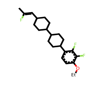 CCOc1ccc(C2CCC(C3CCC(/C=C(/C)F)CC3)CC2)c(F)c1F